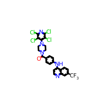 O=C(c1ccc(Nc2ccnc3cc(C(F)(F)F)ccc23)cc1)N1CCN(c2c(Cl)c(Cl)nc(Cl)c2Cl)CC1